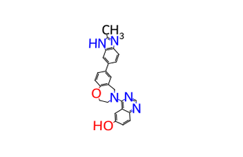 Cc1nc2ccc(-c3ccc4c(c3)CN(c3ncnc5ccc(O)cc35)CCO4)cc2[nH]1